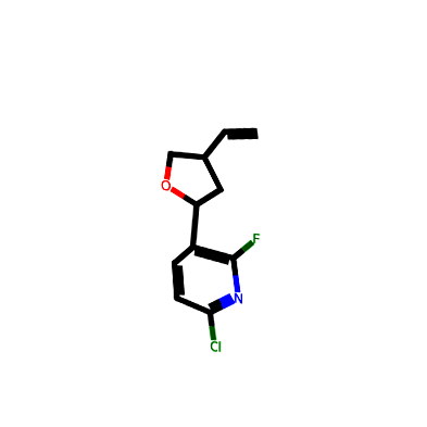 C=CC1COC(c2ccc(Cl)nc2F)C1